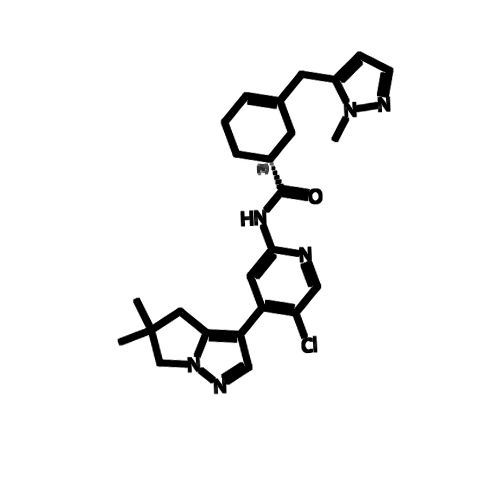 Cn1nccc1CC1=CCC[C@@H](C(=O)Nc2cc(-c3cnn4c3CC(C)(C)C4)c(Cl)cn2)C1